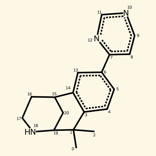 CC1(C)c2ccc(-c3ccncn3)cc2C2CCNC1C2